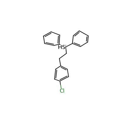 Clc1ccc(CC[SiH](c2ccccc2)c2ccccc2)cc1